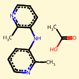 CC(=O)O.Cc1ncccc1Nc1cccnc1C